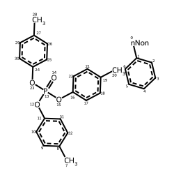 CCCCCCCCCc1ccccc1.Cc1ccc(OP(=O)(Oc2ccc(C)cc2)Oc2ccc(C)cc2)cc1